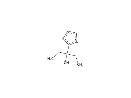 CCC(O)(CC)c1nccs1